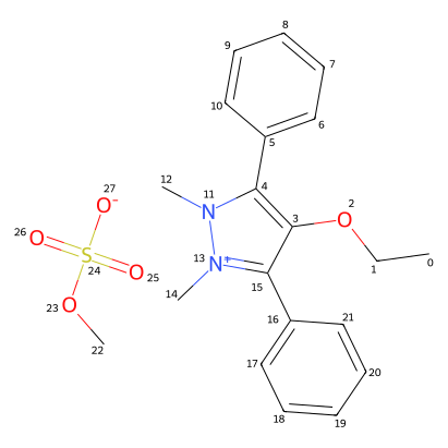 CCOc1c(-c2ccccc2)n(C)[n+](C)c1-c1ccccc1.COS(=O)(=O)[O-]